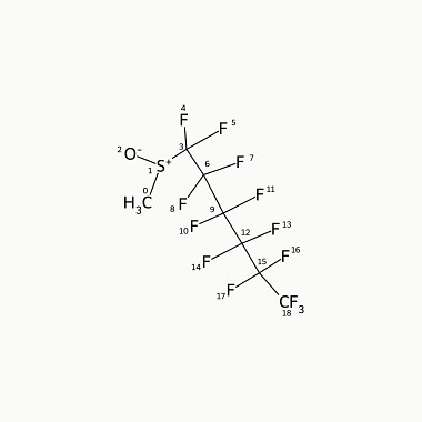 C[S+]([O-])C(F)(F)C(F)(F)C(F)(F)C(F)(F)C(F)(F)C(F)(F)F